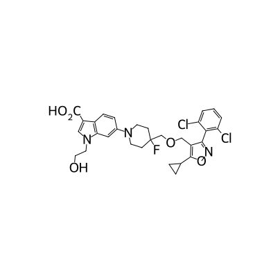 O=C(O)c1cn(CCO)c2cc(N3CCC(F)(COCc4c(-c5c(Cl)cccc5Cl)noc4C4CC4)CC3)ccc12